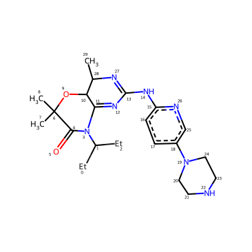 CCC(CC)N1C(=O)C(C)(C)OC2C1=NC(Nc1ccc(N3CCNCC3)cn1)=NC2C